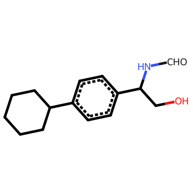 O=CNC(CO)c1ccc(C2CCCCC2)cc1